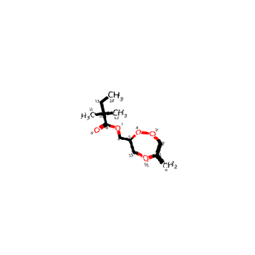 C=C1COOC(COC(=O)C(C)(C)CC)CO1